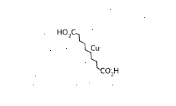 O=C(O)CCCCCCCCC(=O)O.[Cu]